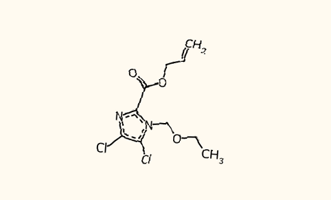 C=CCOC(=O)c1nc(Cl)c(Cl)n1COCC